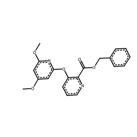 COc1cc(OC)nc(Oc2cccnc2C(=O)OCc2ccccc2)c1